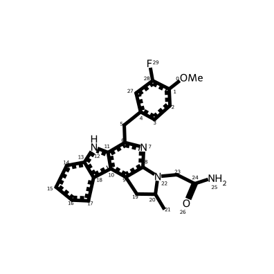 COc1ccc(Cc2nc3c(c4c2[nH]c2ccccc24)CC(C)N3CC(N)=O)cc1F